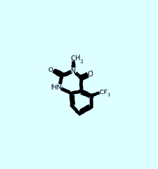 Cn1c(=O)[nH]c2cccc(C(F)(F)F)c2c1=O